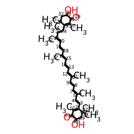 CC1=C(/C=C/C(C)=C/C=C/C(C)=C/C=C/C=C(C)/C=C/C=C(\C)CCC2=C(C)C(=O)C(O)CC2(C)C)C(C)(C)CC(O)C1=O